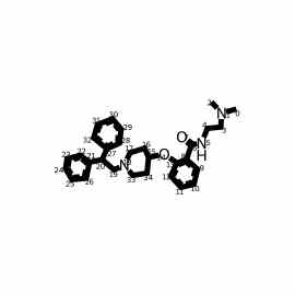 CN(C)CCNC(=O)c1ccccc1OC1CCN(CC(c2ccccc2)c2ccccc2)CC1